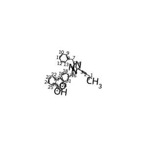 CCC#Cc1nc(Cc2ccccc2)nn1Cc1ccc(-c2ccccc2C(=O)O)cc1